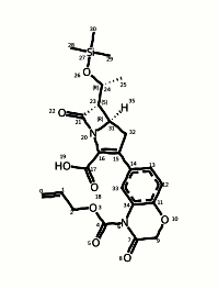 C=CCOC(=O)N1C(=O)COc2ccc(C3=C(C(=O)O)N4C(=O)[C@H]([C@@H](C)O[Si](C)(C)C)[C@H]4C3)cc21